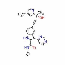 CC1=CC(C(C)(O)C#Cc2ccc3[nH]c(C(=O)NC4CC4)c(-c4ccncn4)c3c2)=NC1